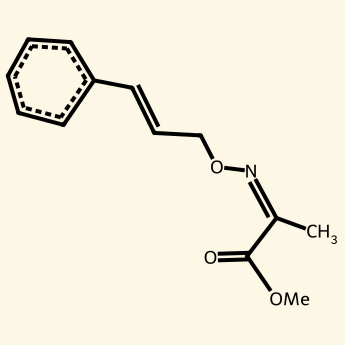 COC(=O)C(C)=NOCC=Cc1ccccc1